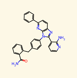 NC(=O)c1ccccc1Cc1ccc(-n2c(-c3cccnc3N)nc3ccc(-c4ccccc4)nc32)cc1